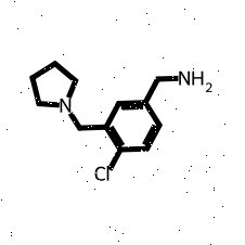 NCc1ccc(Cl)c(CN2CCCC2)c1